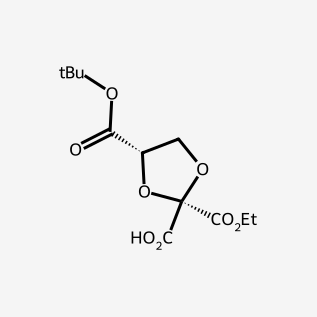 CCOC(=O)[C@@]1(C(=O)O)OC[C@@H](C(=O)OC(C)(C)C)O1